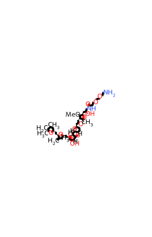 C=C1C[C@H](CC[C@]23C[C@@H](O)[C@H](O2)C2O[C@H]4CC[C@H](CC(=O)C[C@@H]5[C@@H](OC)[C@@H](C[C@H](O)CNC(=O)CCOCCOCCN)O[C@H]5C)O[C@@H]4[C@H](O3)C2C)O[C@H]1CC[C@H]1C[C@@H](C)C(=C)[C@@H](C)O1